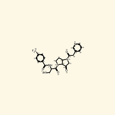 CC(C)CC(NC(=O)c1ccc(C(F)(F)F)cc1)C(=O)N1CCC2C1C(=O)CN2C(=O)Cc1cccnc1